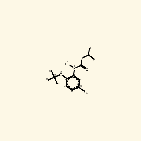 CC(C)OC(=O)N(S)c1cc(F)ccc1OC(C)(C)C